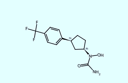 NC(=O)N(O)[C@@H]1CC[C@H](c2ccc(C(F)(F)F)cc2)C1